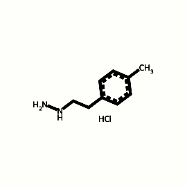 Cc1ccc(CCNN)cc1.Cl